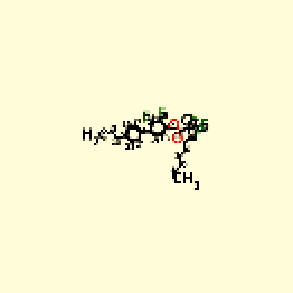 CCCCCCCC(C)(C(=O)Oc1ccc(-c2ccc(CCC)cc2)c(F)c1F)C(F)(F)F